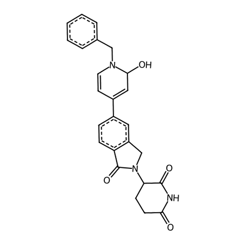 O=C1CCC(N2Cc3cc(C4=CC(O)N(Cc5ccccc5)C=C4)ccc3C2=O)C(=O)N1